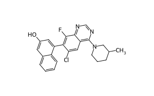 CC1CCCN(c2ncnc3c(F)c(-c4cc(O)cc5ccccc45)c(Cl)cc23)C1